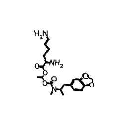 CC(OC(=O)C(N)CCCCN)OC(=O)N(C)C(C)Cc1ccc2c(c1)OCO2